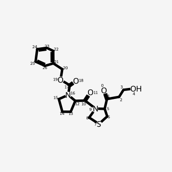 O=C(CCO)C1CSCN1C(=O)C1CCCN1C(=O)OCc1ccccc1